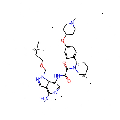 C[C@H]1CC[C@H](c2ccc(OC3CCN(C)CC3)cc2)N(C(=O)C(=O)Nc2cnc(N)c3cnn(COCC[Si](C)(C)C)c23)C1